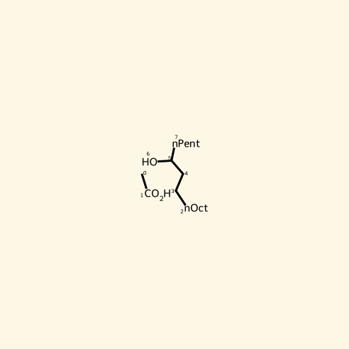 CC(=O)O.CCCCCCCCCCC(O)CCCCC